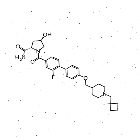 CC1(CN2CCC(COc3ccc(-c4ccc(C(=O)N5C[C@H](O)C[C@H]5C(N)=O)cc4F)cc3)CC2)CCC1